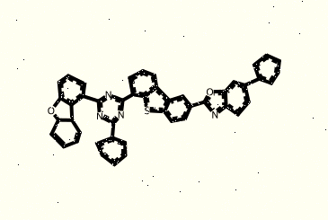 C1=CC2Oc3cccc(-c4nc(-c5ccccc5)nc(-c5cccc6c5sc5ccc(-c7nc8ccc(-c9ccccc9)cc8o7)cc56)n4)c3C2C=C1